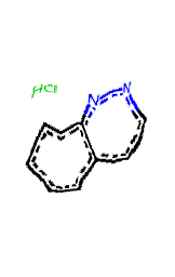 Cl.c1ccc2nnccc2c1